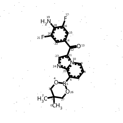 CC1(C)COB(c2cccn3c(C(=O)c4cc(F)c(N)c(F)c4)cnc23)OC1